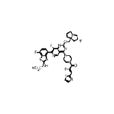 O=C(O)Nc1nc2c(-c3ncc4c(N5CCN(C(=O)/C(F)=C/c6nccs6)CC5)nc(OC[C@@]56CCCN5C[C@H](F)C6)nc4c3F)ccc(F)c2s1